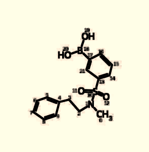 CN(CCc1ccccc1)S(=O)(=O)c1cccc(B(O)O)c1